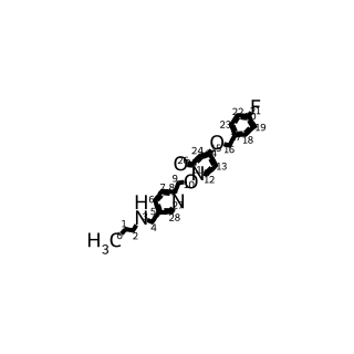 CCCNCc1ccc(COn2ccc(OCc3ccc(F)cc3)cc2=O)nc1